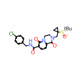 CC(C)(C)[S+]([O-])C1(CN2CCn3c(ccc(C(=O)NCc4ccc(Cl)cc4)c3=O)C2=O)CC1